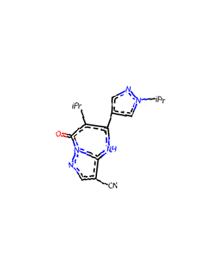 CC(C)c1c(-c2cnn(C(C)C)c2)[nH]c2c(C#N)cnn2c1=O